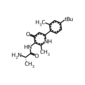 Cc1cc(C(C)(C)C)ccc1-c1cc(=O)c(NC(=O)[C@H](C)N)c(C)[nH]1